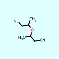 CC(CC#N)OC(C)CC#N